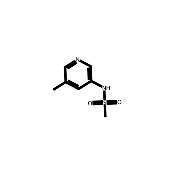 Cc1cncc(NS(C)(=O)=O)c1